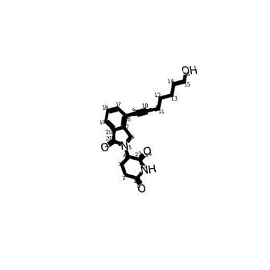 O=C1CCC(N2Cc3c(C#CCCCCCO)cccc3C2=O)C(=O)N1